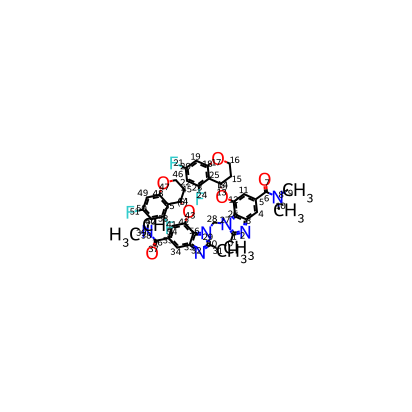 Cc1nc2cc(C(=O)N(C)C)cc(O[C@H]3CCOc4cc(F)cc(F)c43)c2n1Cn1c(C)nc2cc(C(=O)N(C)C)cc(O[C@H]3CCOc4cc(F)cc(F)c43)c21